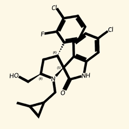 CC1CC1CN1[C@@H](CO)C[C@H](c2cccc(Cl)c2F)[C@]12C(=O)Nc1cc(Cl)ccc12